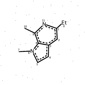 CCc1cc2ccn(C)c2c(C)n1